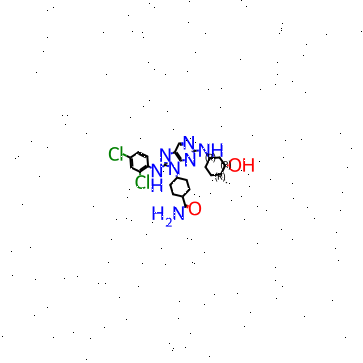 C[C@@H]1CC[C@@H](Nc2ncc3nc(Nc4ccc(Cl)cc4Cl)n(C4CCC(C(N)=O)CC4)c3n2)C[C@H]1O